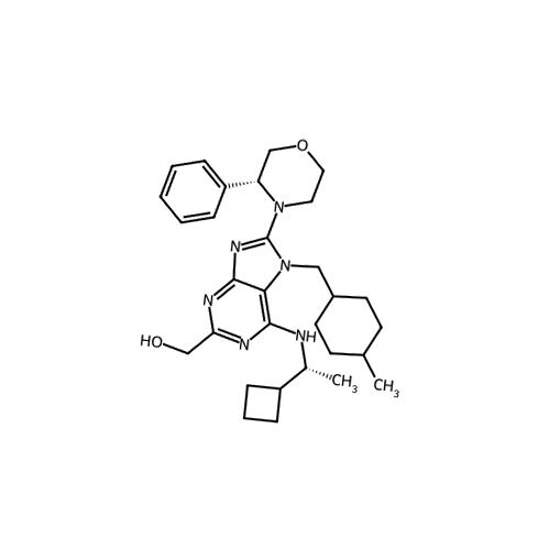 CC1CCC(Cn2c(N3CCOC[C@H]3c3ccccc3)nc3nc(CO)nc(N[C@H](C)C4CCC4)c32)CC1